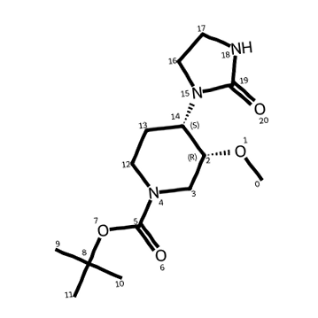 CO[C@@H]1CN(C(=O)OC(C)(C)C)CC[C@@H]1N1CCNC1=O